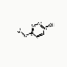 Oc1ccc([O][Sn])nn1